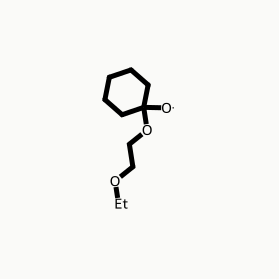 CCOCCOC1([O])CCCCC1